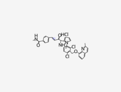 CNC(=O)c1ccc(/C=C/C(=O)C(N)c2cccn2-c2ccc(Cl)c(COc3cccc4ccc(C)nc34)c2Cl)cc1.Cl